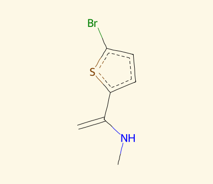 C=C(NC)c1ccc(Br)s1